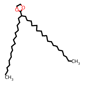 CCCCCCCCCCCCCCCCCCCC(CCCCCCCCCCCCCCCCCC)C1OCCO1